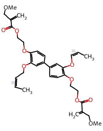 C=C(COC)C(=O)OCCOc1ccc(-c2ccc(OCCOC(=O)C(=C)COC)c(OC/C=C\C)c2)cc1O/C=C\C